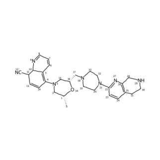 C[C@@H]1CN(C2=C3C=CC=NC3C(C#N)C=C2)C[C@H](CN2CCN(c3ccc4c(n3)CNCC4)CC2)O1